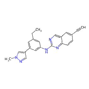 C#Cc1ccc2nc(Nc3cc(CC)cc(-c4cnn(C)c4)c3)ncc2c1